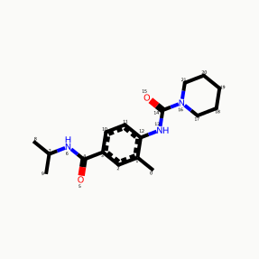 Cc1cc(C(=O)NC(C)C)ccc1NC(=O)N1CCCCC1